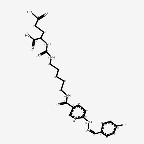 O=C(O)CCC(NC(=O)NCCCCCNC(=O)c1ccc(N/N=C\c2ccc(F)cc2)nc1)C(=O)O